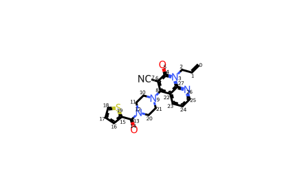 C=CCn1c(=O)c(C#N)c(N2CCN(C(=O)c3cccs3)CC2)c2cccnc21